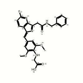 COc1cc(C=C2N=C(CC(=O)NCc3ccccc3)c3nc(F)ccc32)cc(OC)c1NCC(=O)O